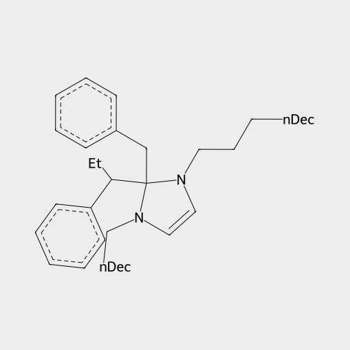 CCCCCCCCCCCCCN1C=CN(CCCCCCCCCCC)C1(Cc1ccccc1)C(CC)c1ccccc1